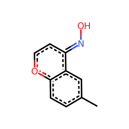 Cc1ccc2occc(=NO)c2c1